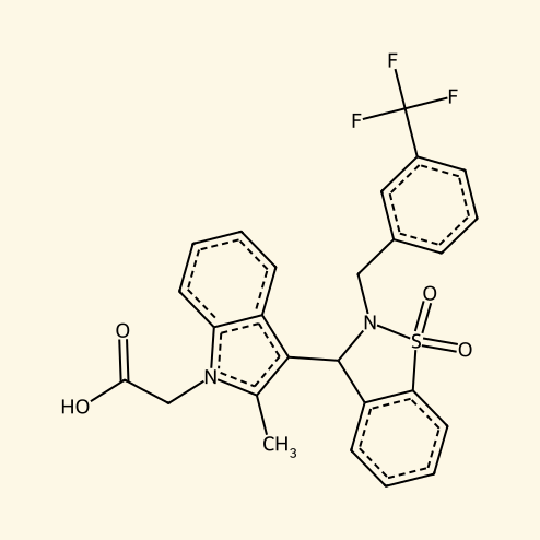 Cc1c(C2c3ccccc3S(=O)(=O)N2Cc2cccc(C(F)(F)F)c2)c2ccccc2n1CC(=O)O